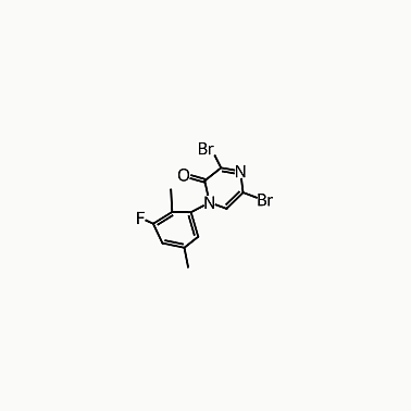 Cc1cc(F)c(C)c(-n2cc(Br)nc(Br)c2=O)c1